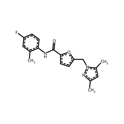 Cc1cc(C)n(Cc2ccc(C(=O)Nc3ccc(F)cc3C)o2)n1